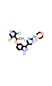 C[C@@H](Oc1ccc2[nH]nc(-c3cnc(N=S4(=O)CCOCC4)nc3)c2c1)c1c(Cl)cncc1Cl